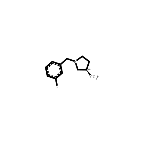 O=C(O)[C@@H]1CCN(Cc2cc[c]c(F)c2)C1